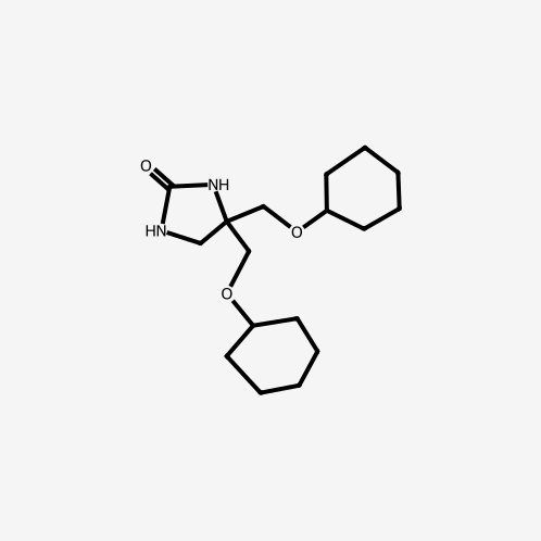 O=C1NCC(COC2CCCCC2)(COC2CCCCC2)N1